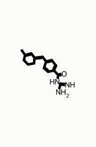 CC1=CC(=Cc2ccc(C(=O)NC(=N)N)cc2)CCC1